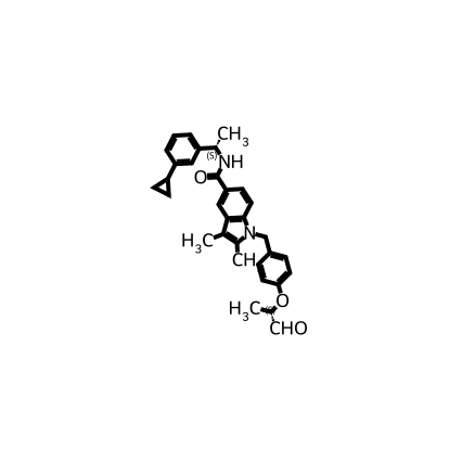 Cc1c(C)n(Cc2ccc(O[C@@H](C)C=O)cc2)c2ccc(C(=O)N[C@@H](C)c3cccc(C4CC4)c3)cc12